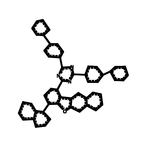 c1ccc(-c2ccc(-c3nc(-c4ccc(-c5ccccc5)cc4)nc(-c4ccc(-c5cccc6ccccc56)c5oc6cc7ccccc7cc6c45)n3)cc2)cc1